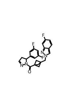 O=C(N1N=CCC1c1cc(F)cc(F)c1)C12CC(Cn3cc4ccc(F)cc4n3)(C1)C2